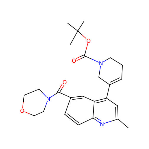 Cc1cc(C2=CCCN(C(=O)OC(C)(C)C)C2)c2cc(C(=O)N3CCOCC3)ccc2n1